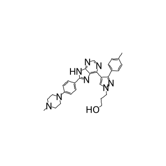 Cc1ccc(-c2nn(CCCO)cc2-c2ncnc3[nH]c(-c4ccc(N5CCN(C)CC5)cc4)nc23)cc1